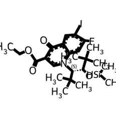 CCOC(=O)c1cn([C@H](C(O[SiH](C)C)C(C)(C)C)C(C)(C)C)c2cc(F)c(I)cc2c1=O